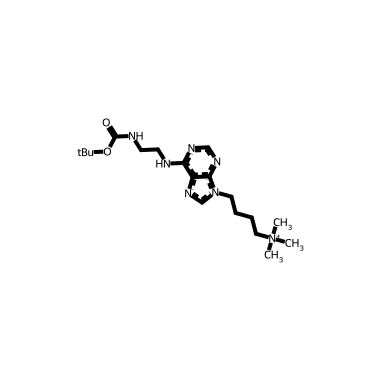 CC(C)(C)OC(=O)NCCNc1ncnc2c1ncn2CCCC[N+](C)(C)C